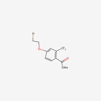 COC(=O)c1ccc(OCCBr)cc1C(F)(F)F